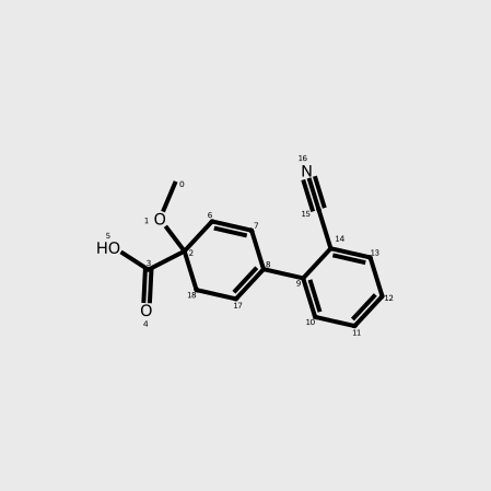 COC1(C(=O)O)C=CC(c2ccccc2C#N)=CC1